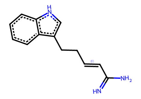 N=C(N)/C=C/CCc1c[nH]c2ccccc12